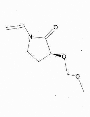 C=CN1CC[C@H](OCOC)C1=O